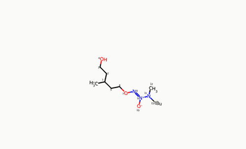 CC(CCO)CCON=[N+]([O-])N(C)C(C)(C)C